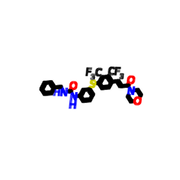 O=C(NCc1ccccc1)Nc1cccc(Sc2ccc(C=CC(=O)N3CCOCC3)c(C(F)(F)F)c2C(F)(F)F)c1